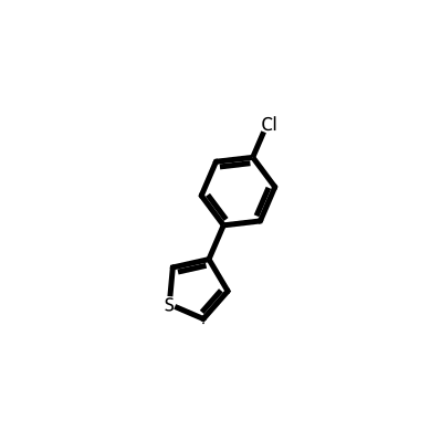 Clc1ccc(-c2c[c]sc2)cc1